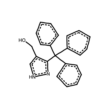 OCc1c[nH]nc1C(c1ccccc1)(c1ccccc1)c1ccccc1